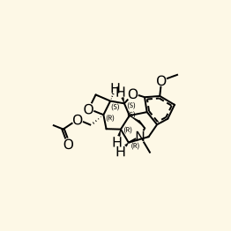 COc1ccc2c3c1O[C@H]1[C@@H]4CO[C@]4(COC(C)=O)C[C@H]4[C@@H](C2)N(C)CC[C@@]341